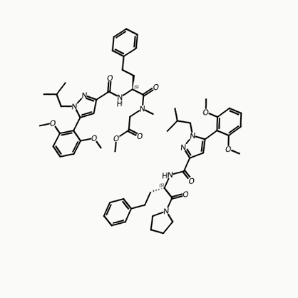 COC(=O)CN(C)C(=O)[C@H](CCc1ccccc1)NC(=O)c1cc(-c2c(OC)cccc2OC)n(CC(C)C)n1.COc1cccc(OC)c1-c1cc(C(=O)N[C@@H](CCc2ccccc2)C(=O)N2CCCC2)nn1CC(C)C